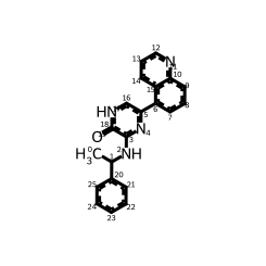 CC(Nc1nc(-c2cccc3ncccc23)c[nH]c1=O)c1ccccc1